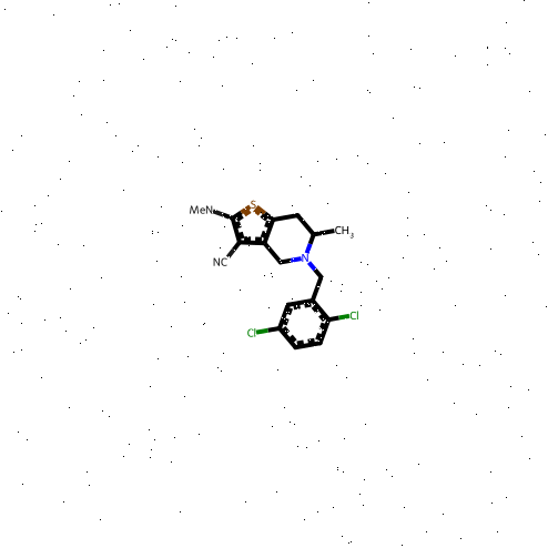 CNc1sc2c(c1C#N)CN(Cc1cc(Cl)ccc1Cl)C(C)C2